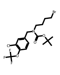 CC(C)(C)OC(=O)N(CCCCBr)Cc1ccc(OC(F)(F)F)c(Cl)c1